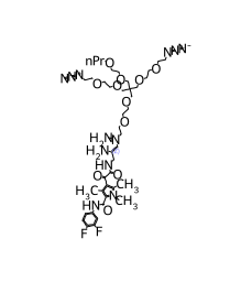 CCCOCCOCC(COCCOCCN=[N+]=[N-])(COCCOCCN=[N+]=[N-])COCCOCCN(N)/C=C(\N)CNC(=O)C(=O)c1c(C)c(C(=O)Nc2ccc(F)c(F)c2)n(C)c1C